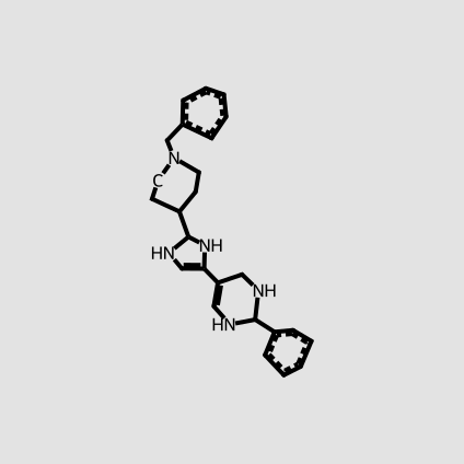 C1=C(C2=CNC(C3CCN(Cc4ccccc4)CC3)N2)CNC(c2ccccc2)N1